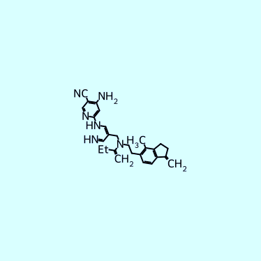 C=C1CCc2c1ccc(CCN(C/C(C=N)=C/Nc1cc(N)c(C#N)cn1)C(=C)CC)c2C